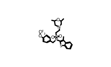 Cc1c(N(Cc2ccc(OC(F)(F)F)cc2)S(=O)(=O)CCN2CC(C)OC(C)C2)sc2ccccc12